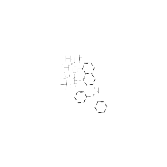 [2H]C([2H])([2H])Oc1c(F)ccc2cc(N=C(c3ccccc3)c3ccccc3)cc(B3OC(C)(C)C(C)(C)O3)c12